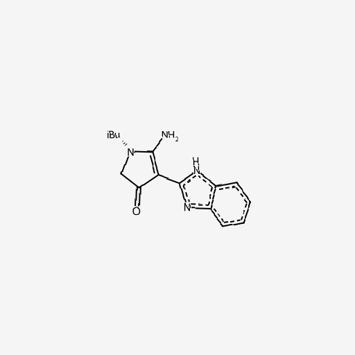 CC[C@@H](C)N1CC(=O)C(c2nc3ccccc3[nH]2)=C1N